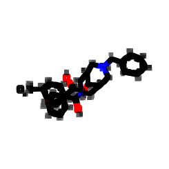 O=C(OC1C2CN(Cc3ccccc3)CC1CN(C(=O)c1ccc([N+](=O)[O-])cc1)C2)c1ccccc1